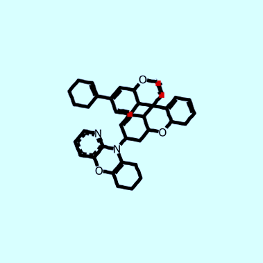 C1=CCC2OC3CC(N4C5=C(CCCC5)Oc5cccnc54)C=CC3C3(C2=C1)C1C=CC=CC1OC1C=C(C2=CCCCC2)C=CC13